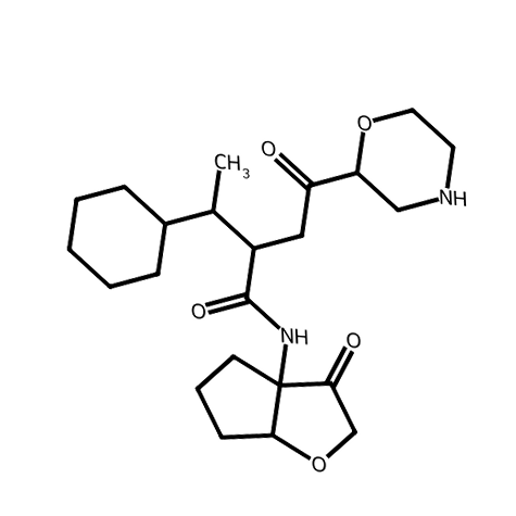 CC(C1CCCCC1)C(CC(=O)C1CNCCO1)C(=O)NC12CCCC1OCC2=O